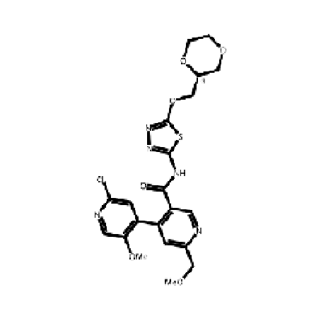 COCc1cc(-c2cc(Cl)ncc2OC)c(C(=O)Nc2nnc(OC[C@@H]3COCCO3)s2)cn1